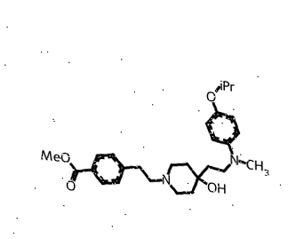 COC(=O)c1ccc(CCN2CCC(O)(CCN(C)c3ccc(OC(C)C)cc3)CC2)cc1